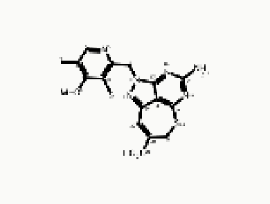 COc1c(C)cnc(Cn2nc3c4c(nc(N)nc42)SCC(C(=O)O)=C3)c1C